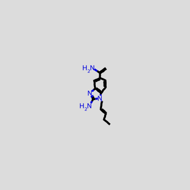 C=C(N)c1ccc2c(c1)nc(N)n2C/C=C/CC